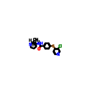 C[C@H]1[C@H](NC(=O)c2ccc(Sc3ccncc3Cl)cc2)C2CCN1CC2